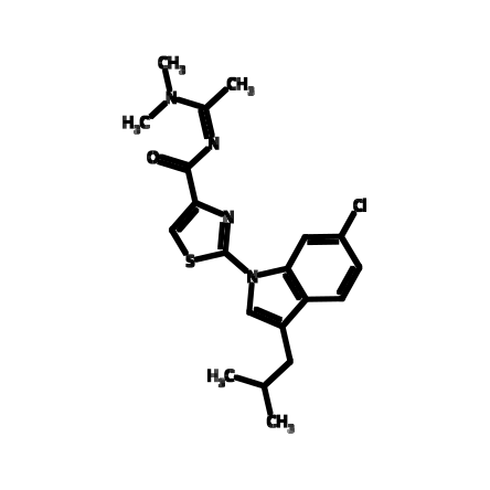 CC(=NC(=O)c1csc(-n2cc(CC(C)C)c3ccc(Cl)cc32)n1)N(C)C